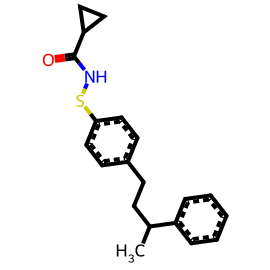 CC(CCc1ccc(SNC(=O)C2CC2)cc1)c1ccccc1